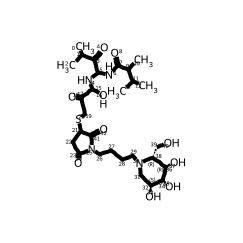 CC(C)C(=O)C(NC(=O)C(C)C(C)C)NC(O)C(=O)CSC1CC(=O)N(CCCCN2C[C@H](O)[C@@H](O)[C@H](O)[C@H]2CO)C1=O